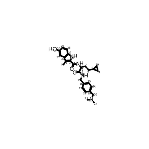 Cc1c(C(=O)NC(CCC2CC2)C(=O)NCc2ccc(CN(C)C)cc2)[nH]c2ccc(O)cc12